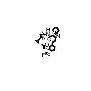 C=C(C)Oc1c(/C=C/c2nc3ccccn3c2C(=O)Nc2nc(C3CC3)cs2)cccc1OC(F)F